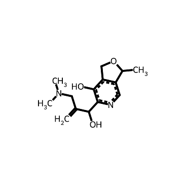 C=C(CN(C)C)C(O)c1ncc2c(c1O)COC2C